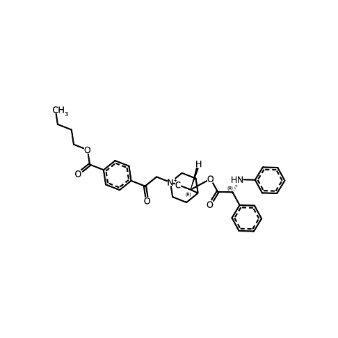 CCCCOC(=O)c1ccc(C(=O)C[N+]23CCC(CC2)[C@@H](OC(=O)[C@H](Nc2ccccc2)c2ccccc2)C3)cc1